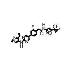 C=Cc1nn(C)cc1Nc1ncc(-c2ccc(CC(=O)Nc3cc(C4(C(F)(F)F)CC4)on3)c(F)c2)cn1